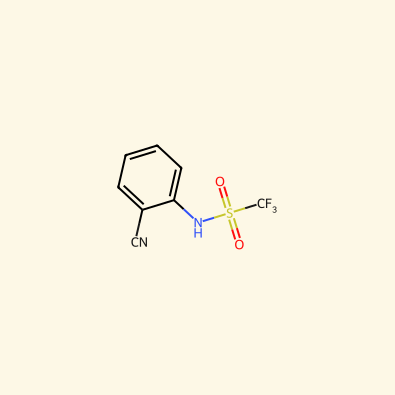 N#Cc1ccccc1NS(=O)(=O)C(F)(F)F